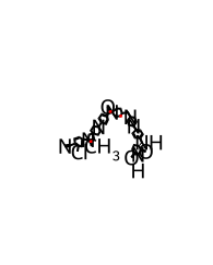 C[C@@H]1CC2(CCN(c3ccc(C(=O)N4CCC(CN5CCN(c6ccc(N[C@@H]7CCC(=O)NC7=O)cc6)CC5)CC4)cc3)CC2)CN1c1ccc(C#N)c(Cl)c1